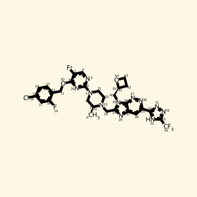 C[C@H]1CN(c2ncc(F)c(OCc3ccc(Cl)cc3F)n2)CCN1Cc1nc2cc(-c3nnc(C(F)(F)F)[nH]3)nnc2n1C[C@@H]1CCO1